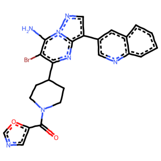 Nc1c(Br)c(C2CCN(C(=O)c3cnco3)CC2)nc2c(-c3cnc4ccccc4c3)cnn12